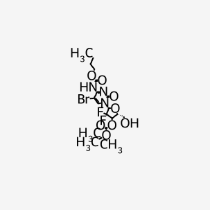 CCCCOC(=O)Nc1nc(=O)n([C@@H]2O[C@H](CO)C(OC(=O)OC(C)(C)C)C2(F)F)cc1Br